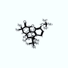 [2H]C([2H])([2H])Oc1ccc2c3c1OC1C(=O)C([2H])([2H])C[C@@H]4[C@@]31CCN(C([2H])([2H])[2H])[C@]4([2H])C2([2H])[2H]